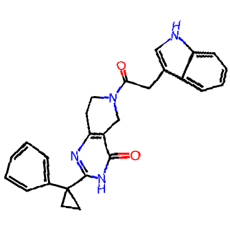 O=C(Cc1c[nH]c2ccccc12)N1CCc2nc(C3(c4ccccc4)CC3)[nH]c(=O)c2C1